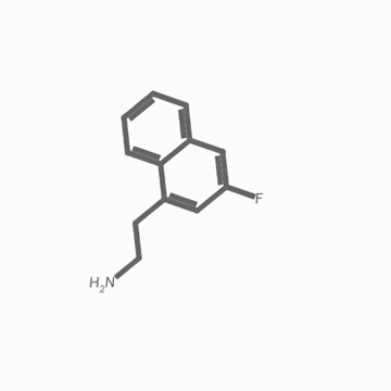 NCCc1cc(F)cc2ccccc12